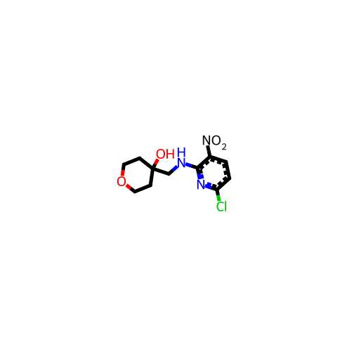 O=[N+]([O-])c1ccc(Cl)nc1NCC1(O)CCOCC1